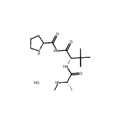 CN[C@@H](C)C(=O)N[C@H](C(=O)NC(=O)C1CCCN1)C(C)(C)C.Cl